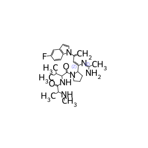 C=C(/C=C(\N=C(\C)N)C1CCCN1C(=O)C(NC(=O)C(C)NC)C(C)C)n1ccc2cc(F)ccc21